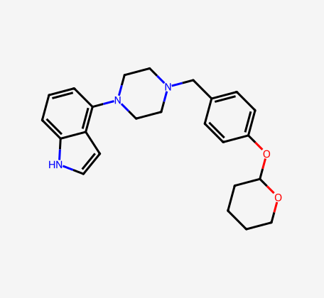 c1cc(N2CCN(Cc3ccc(OC4CCCCO4)cc3)CC2)c2cc[nH]c2c1